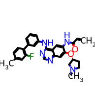 C=CC(=O)Nc1cc2c(Nc3cccc(-c4ccc(C)cc4F)c3)ncnc2cc1O[C@@H]1CCN(C)C1